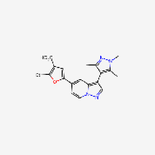 CCc1oc(-c2ccn3ncc(-c4c(C)nn(C)c4C)c3c2)cc1C(=O)O